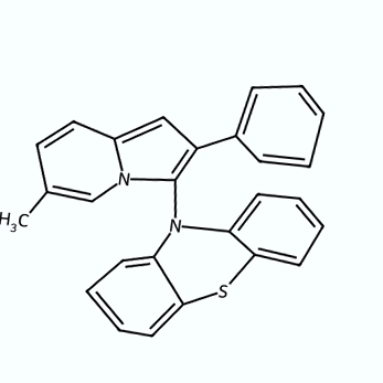 Cc1ccc2cc(-c3ccccc3)c(N3c4ccccc4Sc4ccccc43)n2c1